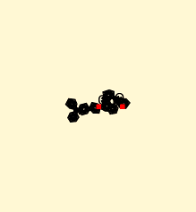 c1ccc(N(c2ccccc2)c2ccc(-c3ccc(-c4cc5ccccc5c5c4oc4cccc(-c6nc7ccccc7o6)c45)cc3)cc2)cc1